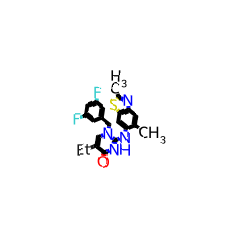 CCc1cn(Cc2cc(F)cc(F)c2)c(Nc2cc3sc(C)nc3cc2C)nc1=O